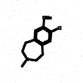 COc1cc2c(cc1Cl)CCN(C)CC2